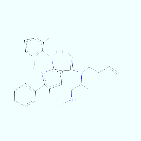 C=CCCN(/C(=N/C)c1cc(Cl)c(C2=CCCC=C2)nc1N(C=O)c1c(CC)cccc1CC)C(C)CNC=O